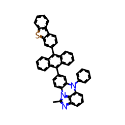 Cc1nc2cccc3c2n1-c1ccc(-c2c4ccccc4c(-c4ccc5c(c4)sc4ccccc45)c4ccccc24)cc1N3c1ccccc1